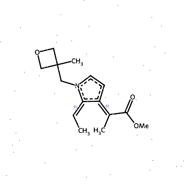 C/C=c1\c(=C(/C)C(=O)OC)ccn1CC1(C)COC1